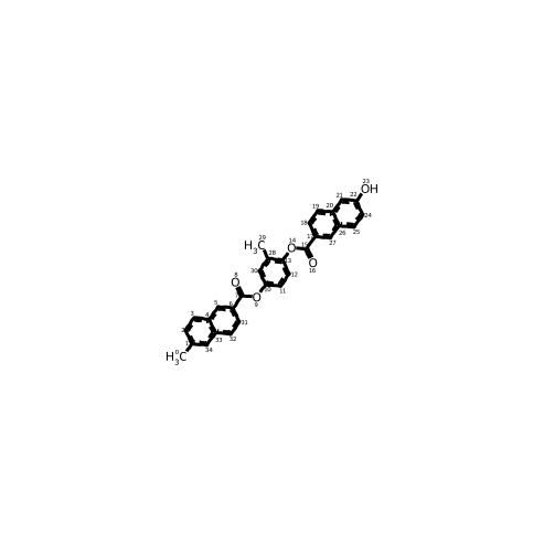 Cc1ccc2cc(C(=O)Oc3ccc(OC(=O)c4ccc5cc(O)ccc5c4)c(C)c3)ccc2c1